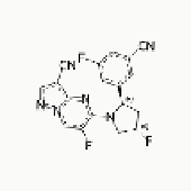 N#Cc1cc(F)cc([C@H]2C[C@H](F)CN2c2nc3c(C#N)cnn3cc2F)c1